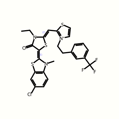 CCn1c(=O)/c(=C2\Sc3cc(Cl)ccc3N2C)s/c1=C\c1scc[n+]1CCc1cccc(C(F)(F)F)c1